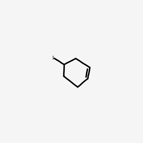 IC1CC=CCC1